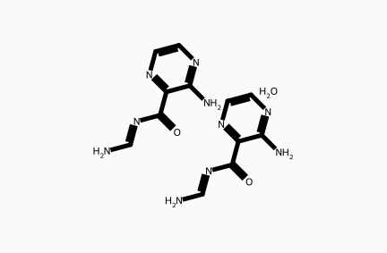 N/C=N/C(=O)c1nccnc1N.N/C=N/C(=O)c1nccnc1N.O